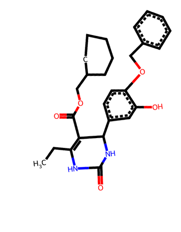 CCC1=C(C(=O)OCC2CCCCC2)C(c2ccc(OCc3ccccc3)c(O)c2)NC(=O)N1